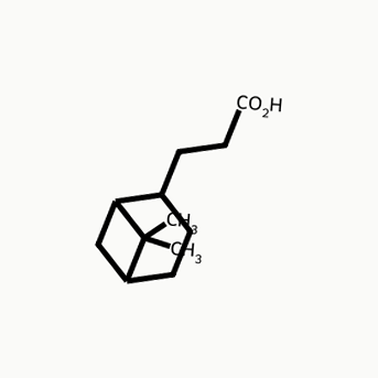 CC1(C)C2CCC(CCC(=O)O)C1C2